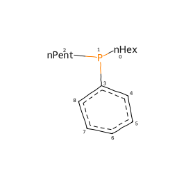 CCCCCCP(CCCCC)c1ccccc1